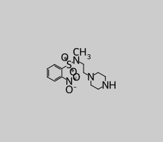 CN(CCN1CCNCC1)S(=O)(=O)c1ccccc1[N+](=O)[O-]